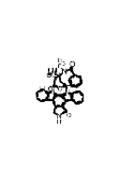 CO[C@@H]1[C@H]2C[C@]3(O[C@]1(C)n1c4ccccc4c4c5c(c6c7ccccc7n3c6c41)C(=O)NC5)c1cccc(c1)C(=O)N2C